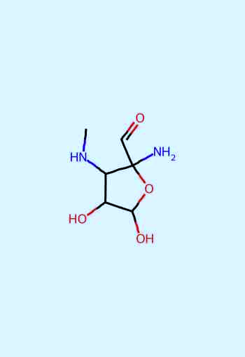 CNC1C(O)C(O)OC1(N)C=O